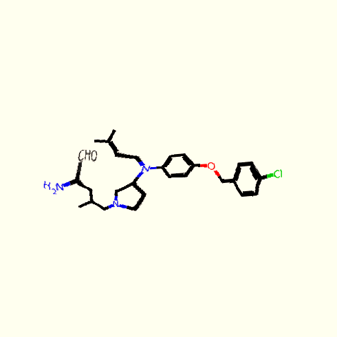 CC(C)=CCN(c1ccc(OCc2ccc(Cl)cc2)cc1)C1CCN(CC(C)CC(N)C=O)C1